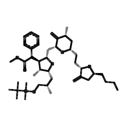 C=C1C[C@H](CCCC)O[C@H]1CC[C@H]1C[C@@H](C)C(=C)[C@@H](C[C@@H]2O[C@H](C[C@H](C)CO[Si](C)(C)C(C)(C)C)[C@H](C)[C@H]2C(C(=O)OC)c2ccccc2)O1